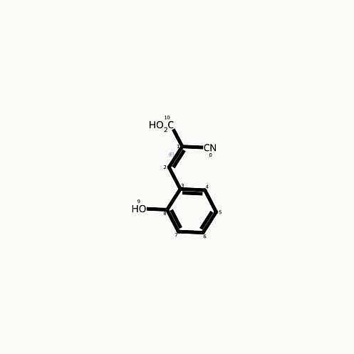 N#C/C(=C\c1ccccc1O)C(=O)O